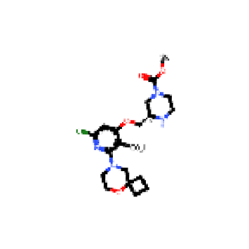 CC(C)(C)OC(=O)N1CCN[C@@H](COc2cc(Cl)nc(N3CCOC4(CCC4)C3)c2C(=O)O)C1